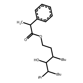 CC(C(=O)OCCC(C(O)C(C(C)C)C(C)(C)C)C(C)(C)C)c1ccccc1